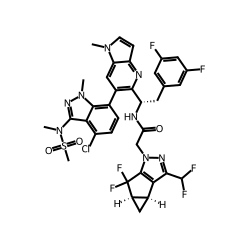 CN(c1nn(C)c2c(-c3cc4c(ccn4C)nc3[C@H](Cc3cc(F)cc(F)c3)NC(=O)Cn3nc(C(F)F)c4c3C(F)(F)[C@@H]3C[C@H]43)ccc(Cl)c12)S(C)(=O)=O